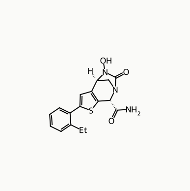 CCc1ccccc1-c1cc2c(s1)[C@@H](C(N)=O)N1C[C@@H]2N(O)C1=O